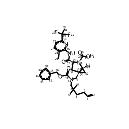 C=CCCC(C)(C)CN(C[C@@]12C[C@@H](C(=O)Nc3nc(C(F)(F)F)ccc3C)N(C(=O)O)[C@@H]1C2)C(=O)OCc1ccccc1